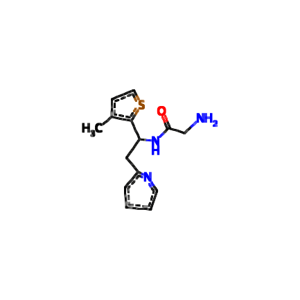 Cc1ccsc1C(Cc1ccccn1)NC(=O)CN